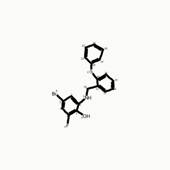 Oc1c(F)cc(Br)cc1NCc1ccccc1Sc1ccccc1